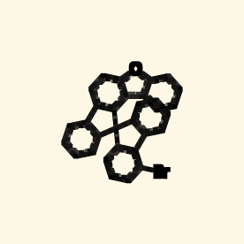 Brc1cccc2c1-c1ccccc1C21c2ccccc2-c2ccc3oc4ccccc4c3c21